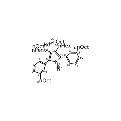 CCCCCCCCc1cccc(C2=C(CCCCC)C(CCCCCC)=C(c3cccc(CCCCCCCC)c3)[N+]2=[N-])c1.CCCCCCC[CH2][Pd][CH2]CCCCCCC